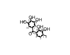 Cc1ccc(C(=O)c2cc(O)c(O)c(O)c2)c(O)c1O